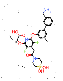 CC[C@@H](Oc1nc(Oc2cc(C)cc(-c3cccc(CN)c3)c2)c(F)c(CC(=O)N2CCS(O)(O)CC2)c1F)C(=O)O